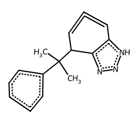 CC(C)(c1ccccc1)C1C=C=Cc2[nH]nnc21